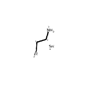 CCCCN.[Sn]